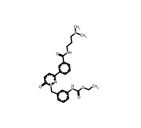 CCOC(=O)Nc1cccc(Cn2nc(-c3cccc(C(=O)NCCCN(C)C)c3)ccc2=O)c1